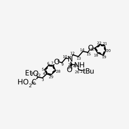 CCOC(Cc1ccc(OCCN(CCCCOc2ccccc2)C(=O)NCC(C)(C)C)cc1)C(=O)O